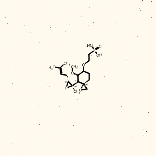 COC1C(OCCP(=O)(O)O)CC[C@]2(CO2)C1[C@@]1(C)O[C@@H]1CC=C(C)C